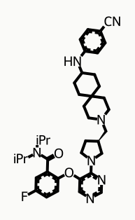 CC(C)N(C(=O)c1cc(F)ccc1Oc1cncnc1N1CC[C@@H](CN2CCC3(CCC(Nc4ccc(C#N)cc4)CC3)CC2)C1)C(C)C